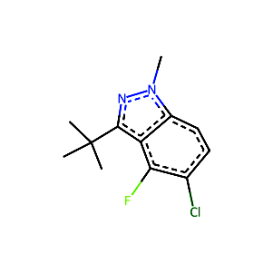 Cn1nc(C(C)(C)C)c2c(F)c(Cl)ccc21